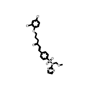 COCN(c1nccs1)S(=O)(=O)c1ccc(C=CC(=O)CCCOc2ccc(Cl)cc2Cl)cc1